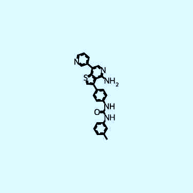 Cc1cccc(NC(=O)Nc2ccc(-c3csc4c(-c5cccnc5)cnc(N)c34)cc2)c1